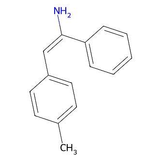 Cc1ccc(/C=C(/N)c2ccccc2)cc1